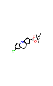 CCC1(C)OB(c2ccc3c(c2)CCc2cc(Cl)ccc2N3)OC1(C)C